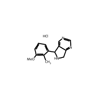 COc1cccc(C2NCc3ncncc32)c1C.Cl